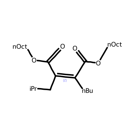 CCCCCCCCOC(=O)/C(CCCC)=C(/CC(C)C)C(=O)OCCCCCCCC